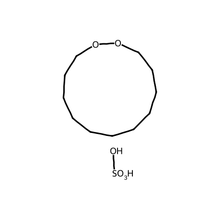 C1CCCCCOOCCCCC1.O=S(=O)(O)O